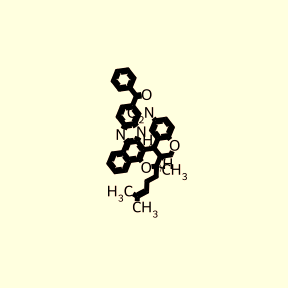 CC(C)=CCC[C@@]1(C)Oc2c(c3nc4cc(C(=O)c5ccccc5)ccc4nc3c3ccccc23)[C@@H]2c3cc([N+](=O)[O-])ccc3OC[C@@H]21